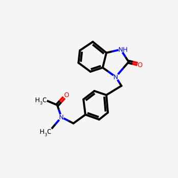 CC(=O)N(C)Cc1ccc(Cn2c(=O)[nH]c3ccccc32)cc1